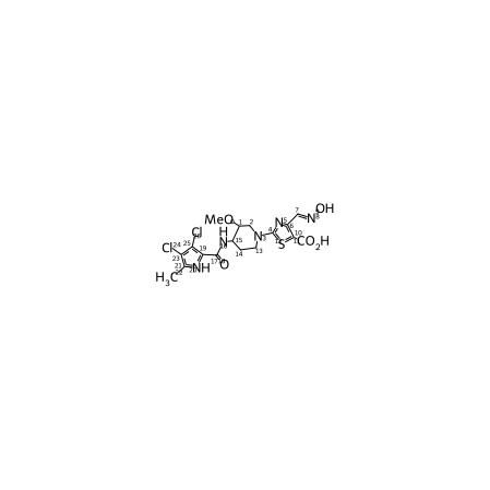 COC1CN(c2nc(C=NO)c(C(=O)O)s2)CCC1NC(=O)c1[nH]c(C)c(Cl)c1Cl